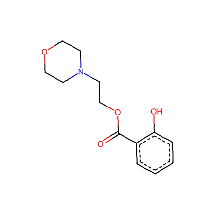 O=C(OCCN1CCOCC1)c1ccccc1O